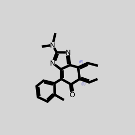 C/C=C1/C(=O)C(c2ccccc2C)=C2N=C(N(C)C)N=C2/C1=C/C